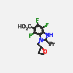 CC(C)C1Nc2c(F)c(F)c(C(=O)O)c(F)c2N1C[C@@H]1CCO1